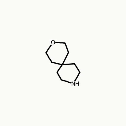 C1CC2(CCN1)CCOCC2